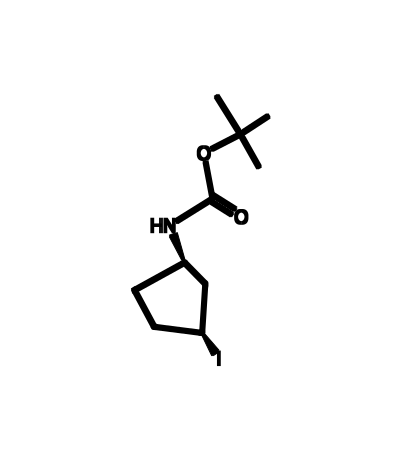 CC(C)(C)OC(=O)N[C@@H]1CC[C@H](I)C1